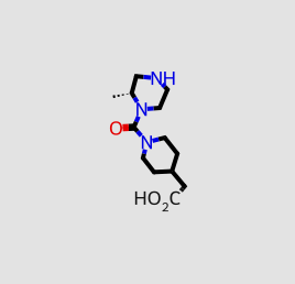 C[C@@H]1CNCCN1C(=O)N1CCC(CC(=O)O)CC1